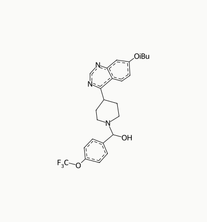 CC(C)COc1ccc2c(C3CCN(C(O)c4ccc(OC(F)(F)F)cc4)CC3)ncnc2c1